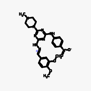 COc1ccc(/C=N/Nc2nc(Nc3ccc([N+](=O)[O-])cc3)nc(N3CCN(C)CC3)n2)cc1OC